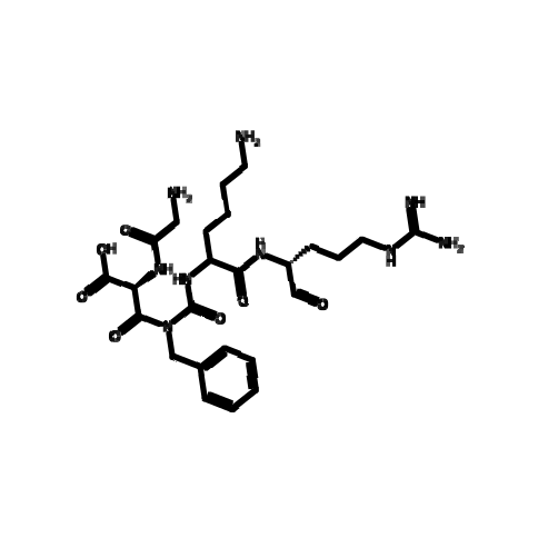 N=C(N)NCCC[C@H](C=O)NC(=O)C(CCCCN)NC(=O)N(Cc1ccccc1)C(=O)[C@H](NC(=O)CN)C(=O)O